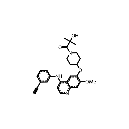 C#Cc1cccc(Nc2ccnc3cc(OC)c(OC4CCN(C(=O)C(C)(C)O)CC4)cc23)c1